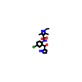 CCn1nc(C)c(S(=O)(=O)Nc2ccc(Cl)cc2C(=O)c2ccc[nH]2)c1C